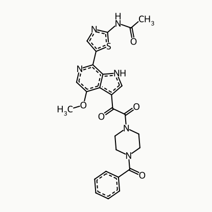 COc1cnc(-c2cnc(NC(C)=O)s2)c2[nH]cc(C(=O)C(=O)N3CCN(C(=O)c4ccccc4)CC3)c12